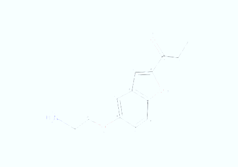 CCC(=O)c1cc2cc(OCCN)ccc2o1